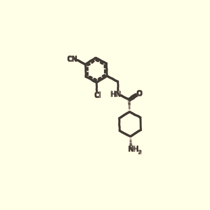 [C-]#[N+]c1ccc(CNC(=O)[C@H]2CC[C@@H](N)CC2)c(Cl)c1